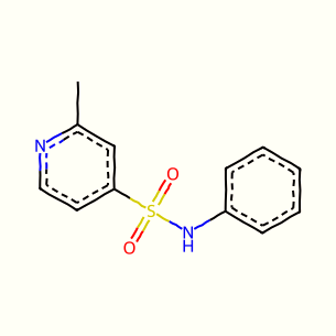 Cc1cc(S(=O)(=O)Nc2ccccc2)ccn1